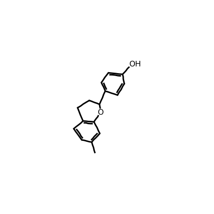 Cc1ccc2c(c1)OC(c1ccc(O)cc1)CC2